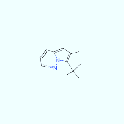 Cc1cc2cccnn2c1C(C)(C)C